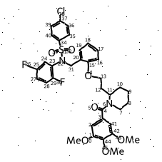 COc1cc(C(=O)N2CCCCC2CCOc2ccccc2CN(c2cc(F)ccc2F)S(=O)(=O)c2ccc(Cl)cc2)cc(OC)c1OC